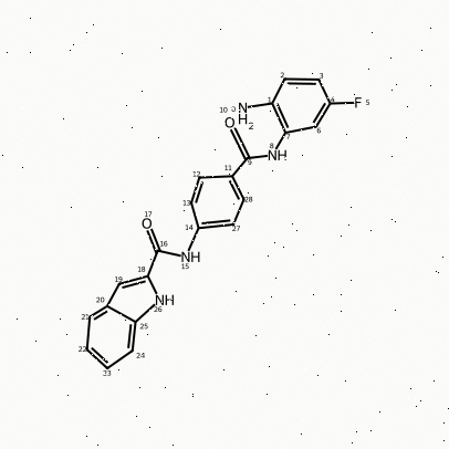 Nc1ccc(F)cc1NC(=O)c1ccc(NC(=O)c2cc3ccccc3[nH]2)cc1